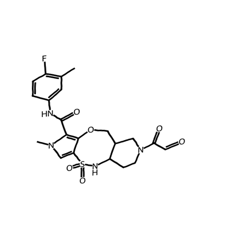 Cc1cc(NC(=O)c2c3c(cn2C)S(=O)(=O)NC2CCN(C(=O)C=O)CC2CO3)ccc1F